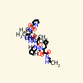 C=CCNC(=O)C(=O)C(CC1CCC1)NC(=O)[C@@H]1[C@H]2CCC[C@H]2CN1C(=O)[C@@H](NC(=O)N[C@H](CN(C)S(=O)(=O)c1ccccn1)C(C)(C)C)C(C)(C)C